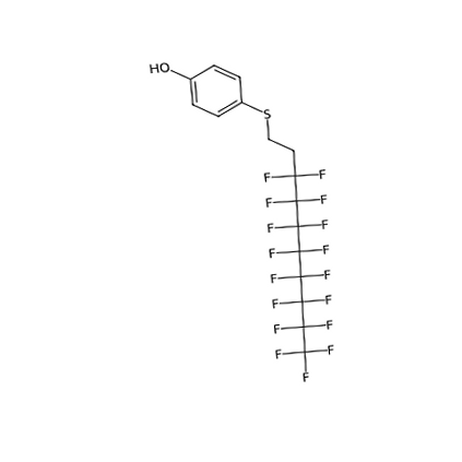 Oc1ccc(SCCC(F)(F)C(F)(F)C(F)(F)C(F)(F)C(F)(F)C(F)(F)C(F)(F)C(F)(F)F)cc1